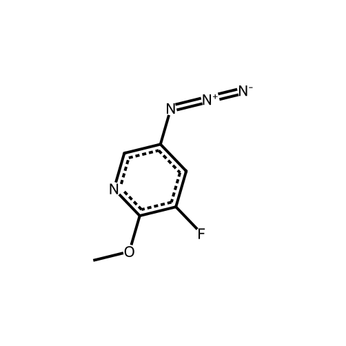 COc1ncc(N=[N+]=[N-])cc1F